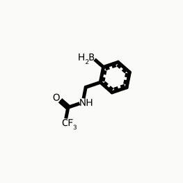 Bc1ccccc1CNC(=O)C(F)(F)F